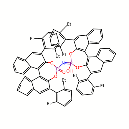 CCc1cccc(CC)c1-c1cc2ccccc2c2c1OP(=O)(N=P1(O)Oc3c(-c4c(CC)cccc4CC)cc4ccccc4c3-c3c(c(-c4c(CC)cccc4CC)cc4ccccc34)O1)Oc1c(-c3c(CC)cccc3CC)cc3ccccc3c1-2